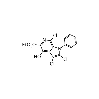 CCOC(=O)c1nc(Cl)c2c(c1O)c(Cl)c(Cl)n2-c1ccccc1